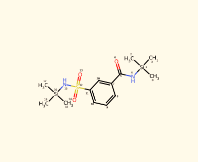 C[Si](C)(C)NC(=O)c1cccc(S(=O)(=O)N[Si](C)(C)C)c1